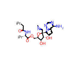 CN=C[C@@]1(c2ccc3c(N)ncnn23)O[C@H](COC(=O)[C@@H](NC(=O)CC(C)C)C(C)C)[C@@H](O)[C@H]1O